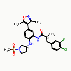 Cc1noc(C)c1-c1ccc(N[C@@H]2CCN(S(C)(=O)=O)C2)c(NC(=O)[C@@H](C)Cc2ccc(Cl)c(F)c2)c1